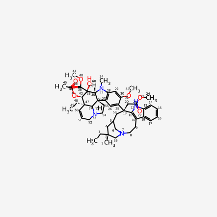 CC[C@]1(C)CC2CN(CCc3c([nH]c4ccccc34)[C@@](CC(=O)OC)(c3cc4c(cc3OC)N(C)[C@H]3[C@@](O)(C(=O)OC)[C@H](OC(C)=O)[C@]5(CC)C=CCN6CC[C@]43[C@@H]65)C2)C1